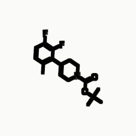 Cc1ccc(F)c(F)c1C1=CCN(C(=O)OC(C)(C)C)CC1